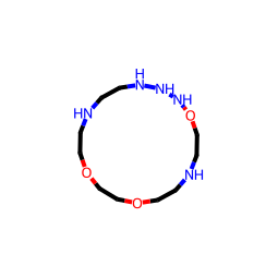 C1CNNNOCCNCCOCCOCCN1